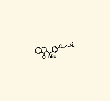 CCCCC(c1ccc(OCCCN(C)C)cc1)C1CCc2ccccc2C1=O